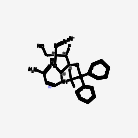 CC(C)(C)[Si](O[C@H]1[C@H](N/C=C\C(=N)N)O[C@@](CO)(N=[N+]=[N-])[C@H]1F)(c1ccccc1)c1ccccc1